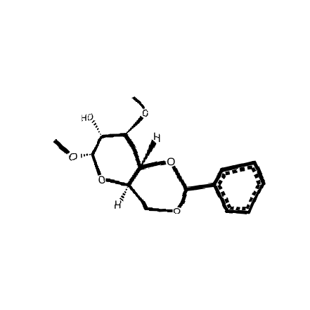 CO[C@H]1O[C@@H]2COC(c3ccccc3)O[C@H]2[C@H](OC)[C@H]1O